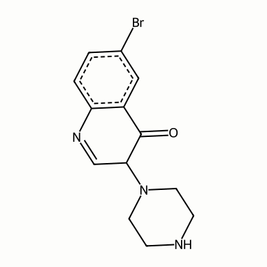 O=C1c2cc(Br)ccc2N=CC1N1CCNCC1